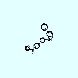 O=C(c1cccs1)N1CCC(N2CCC(Nc3nccc(N4CCCCCC4)n3)C2)CC1